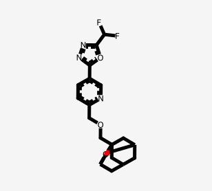 FC(F)c1nnc(-c2ccc(COCC34CC5CC(CC(C5)O3)C4)nc2)o1